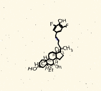 CC[C@H]1[C@@H](O)C2[C@H](CC[C@]3(C)[C@@H]([C@H](C)C/C=C/c4cc(F)c(O)c(F)c4)CC[C@@H]23)C2(C)CC[C@@H](O)C[C@@H]12